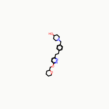 OC1CCN(Cc2ccc(CCc3ccc(OCC4CCCCO4)nn3)cc2)CC1